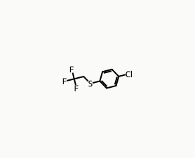 FC(F)(F)CSc1ccc(Cl)cc1